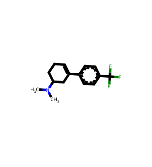 CN(C)C1CCC=C(c2ccc(C(F)(F)F)cc2)C1